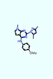 COc1ccc(Nc2nc(-n3nc(C)cc3C)nc3c2ccn3C)cc1